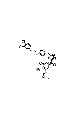 CC(C)OC(=O)NC(CCCCN)C(=O)c1noc(Cc2ccc(OCCc3ccc(Cl)c(Cl)c3)cc2)n1